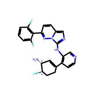 N[C@@H]1C=C(c2ccncc2Nc2ncc3ccc(-c4c(F)cccc4F)nn23)CC[C@H]1F